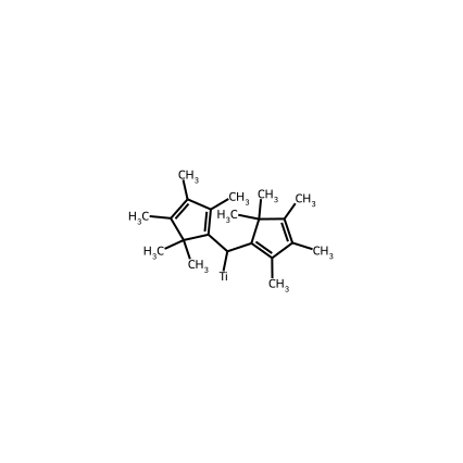 CC1=C(C)C(C)(C)C([CH]([Ti])C2=C(C)C(C)=C(C)C2(C)C)=C1C